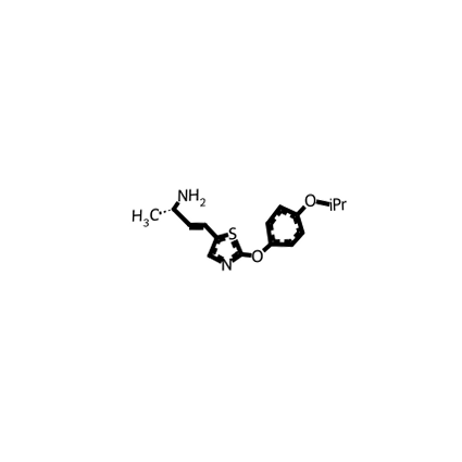 CC(C)Oc1ccc(Oc2ncc(/C=C/[C@H](C)N)s2)cc1